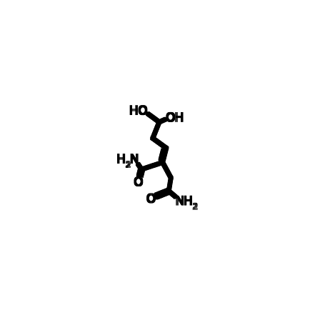 NC(=O)CC(=CCC(O)O)C(N)=O